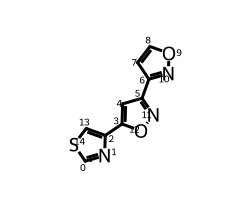 [c]1nc(-c2cc(-c3ccon3)no2)cs1